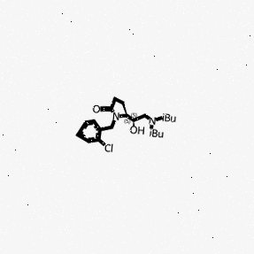 CCC(C)N(C[C@H](O)[C@@H]1CCC(=O)N1Cc1ccccc1Cl)C(C)CC